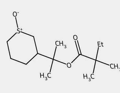 CCC(C)(C)C(=O)OC(C)(C)C1CCC[S+]([O-])C1